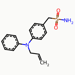 C=CCN(c1ccccc1)c1ccc(CS(N)(=O)=O)cc1